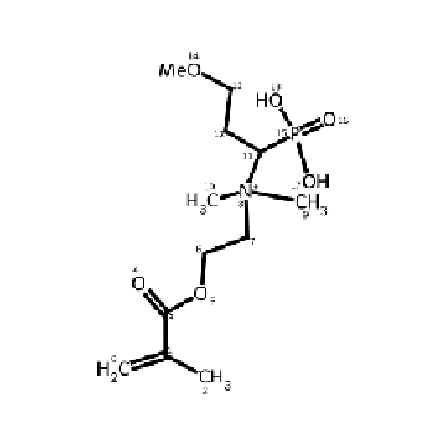 C=C(C)C(=O)OCC[N+](C)(C)C(CCOC)P(=O)(O)O